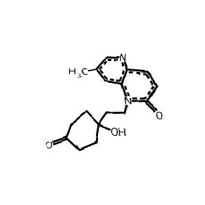 Cc1cnc2ccc(=O)n(CCC3(O)CCC(=O)CC3)c2c1